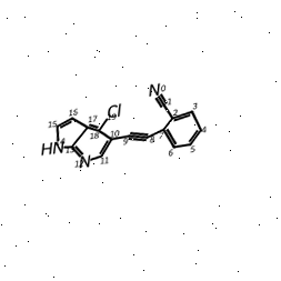 N#Cc1ccccc1C#Cc1cnc2[nH]ccc2c1Cl